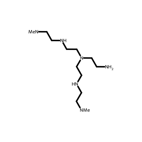 CNCCNCCN(CCN)CCNCCNC